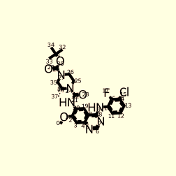 COc1cc2ncnc(Nc3cccc(Cl)c3F)c2cc1NC(=O)N1CCN(C(=O)OC(C)(C)C)C[C@H]1C